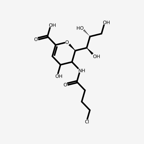 O=C(CCCCl)NC1C(O)C=C(C(=O)O)O[C@H]1[C@H](O)[C@H](O)CO